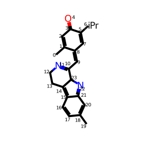 CC1=CC(=O)C(C(C)C)=C/C1=C/C1=NCCC2=c3ccc(C)cc3=NC12